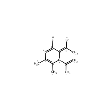 C=C(C)N1C(C)=C(C)N=C(Cl)/C1=C(/C)Br